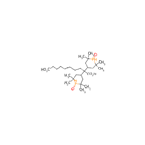 CC1(C)CC(C(CCCCCCCC(=O)O)(C(=O)O)C2CC(C)(C)[PH](=O)C(C)(C)C2)CC(C)(C)[PH]1=O